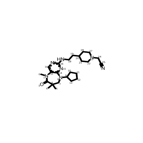 CN1C(=O)C(C)(C)CN(C2CCCC2)c2nc(NCCC3CCN(CC#N)CC3)ncc21